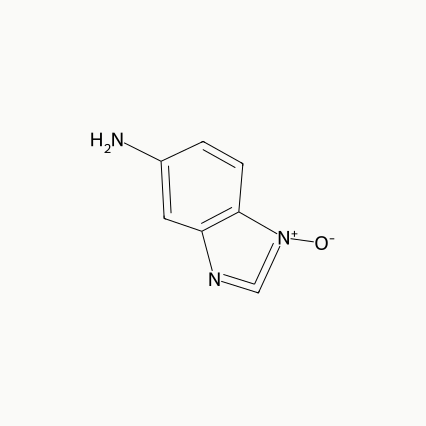 Nc1ccc2c(c1)N=C=[N+]2[O-]